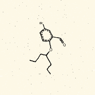 CCCC(CCC)Oc1ccc(Br)cc1C=O